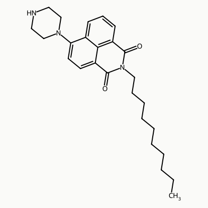 CCCCCCCCCCN1C(=O)c2cccc3c(N4CCNCC4)ccc(c23)C1=O